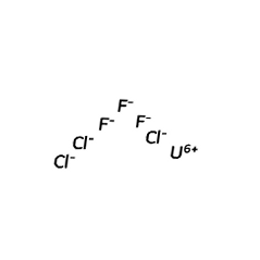 [Cl-].[Cl-].[Cl-].[F-].[F-].[F-].[U+6]